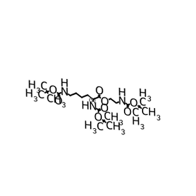 CC(C)(C)OC(=O)NCCCC[C@H](NC(=O)OC(C)(C)C)C(=O)OCCNC(=O)OC(C)(C)C